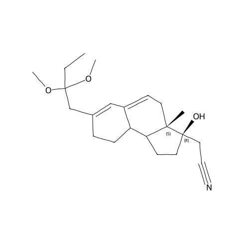 CCC(CC1=CC2=CC[C@@]3(C)C(CC[C@@]3(O)CC#N)C2CC1)(OC)OC